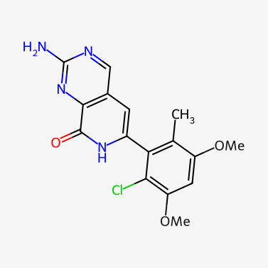 COc1cc(OC)c(Cl)c(-c2cc3cnc(N)nc3c(=O)[nH]2)c1C